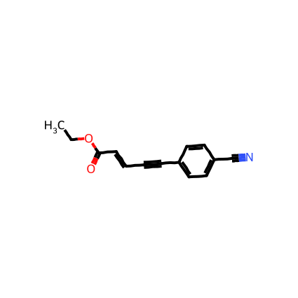 CCOC(=O)C=CC#Cc1ccc(C#N)cc1